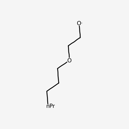 [CH2]CCCCCOCC[O]